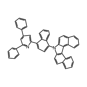 c1ccc(-c2cc(-c3ccccc3)nc(-c3ccc(-n4c5ccc6ccccc6c5c5c6ccccc6ccc54)c4ccccc34)c2)cc1